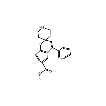 COC(=O)c1ccc2c(c1)C(c1ccccc1)=CC1(CCNCC1)O2